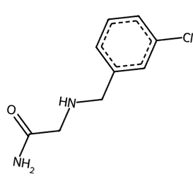 NC(=O)CNCc1cccc(Cl)c1